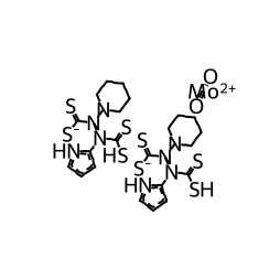 S=C(S)N(c1ccc[nH]1)N(C(=S)[S-])N1CCCCC1.S=C(S)N(c1ccc[nH]1)N(C(=S)[S-])N1CCCCC1.[O]=[Mo+2]=[O]